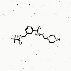 CC(C)(C)C(=O)NCc1cccc(C(=O)NCCN2CCNCC2)c1